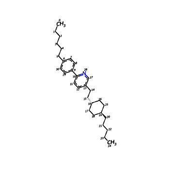 CCCCCCc1ccc(-c2ccc(CC[C@H]3CC[C@H](CCCCC)CC3)cn2)cc1